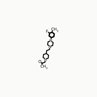 CC(=O)CN1CCC(CCN2CCN(c3ccc(C)c(F)c3)CC2)CC1